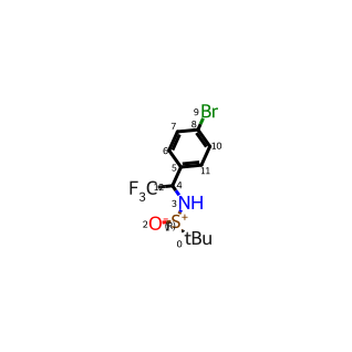 CC(C)(C)[S@+]([O-])NC(c1ccc(Br)cc1)C(F)(F)F